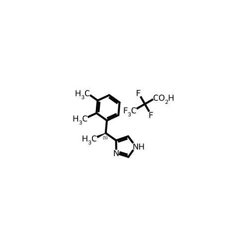 Cc1cccc([C@H](C)c2c[nH]cn2)c1C.O=C(O)C(F)(F)C(F)(F)F